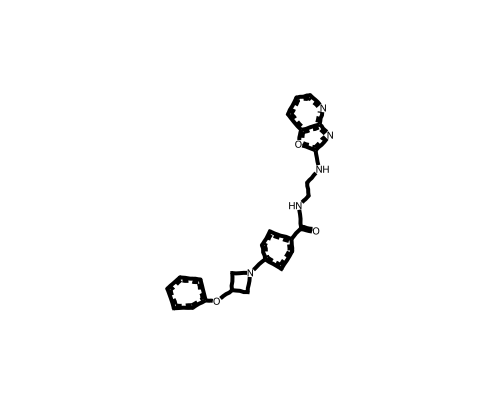 O=C(NCCNc1nc2ncccc2o1)c1ccc(N2CC(Oc3ccccc3)C2)cc1